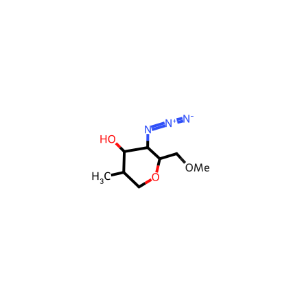 COCC1OCC(C)C(O)C1N=[N+]=[N-]